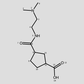 CN(C)CCNC(=O)C1CCC(C(=O)O)C1